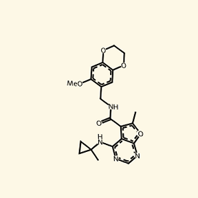 COc1cc2c(cc1CNC(=O)c1c(C)oc3ncnc(NC4(C)CC4)c13)OCCO2